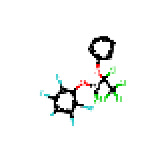 Fc1c(F)c(F)c([O][Al]([Cl])[C](Cl)(Oc2ccccc2)C(Cl)(Cl)Cl)c(F)c1F